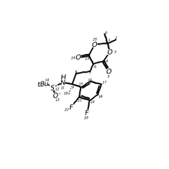 CC1(C)OC(=O)C(CC[C@](C)(N[S@+]([O-])C(C)(C)C)c2cccc(F)c2F)C(=O)O1